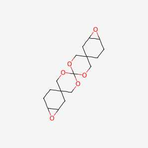 C1CC2(COC3(OC2)OCC2(CCC4OC4C2)CO3)CC2OC12